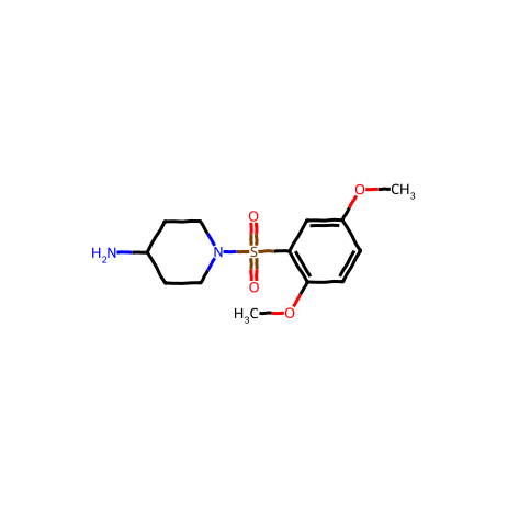 COc1ccc(OC)c(S(=O)(=O)N2CCC(N)CC2)c1